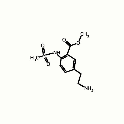 COC(=O)c1cc(CCN)ccc1NS(C)(=O)=O